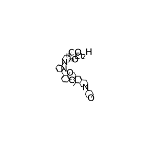 CCO[C@@H]1CN(c2cccc(-c3cccc(Cl)c3OCc3cc(C)c4c(c3)CCN(C3CCOCC3)C4)n2)CC[C@@H]1C(=O)O